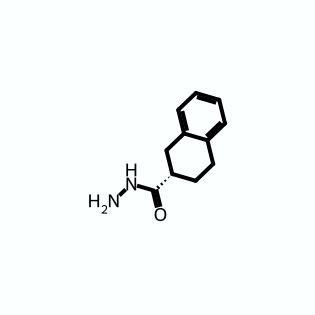 NNC(=O)[C@H]1CCc2ccccc2C1